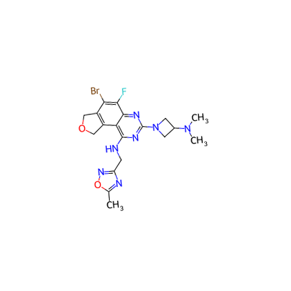 Cc1nc(CNc2nc(N3CC(N(C)C)C3)nc3c(F)c(Br)c4c(c23)COC4)no1